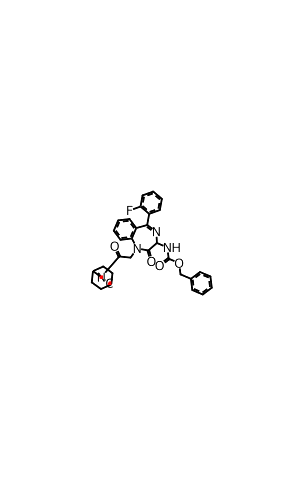 O=C(NC1N=C(c2ccccc2F)c2ccccc2N(CC(=O)N2CC3CCC(CC3)C2)C1=O)OCc1ccccc1